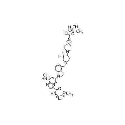 CNc1cc(N2CCc3c(CN4CCC(N5CCC6(CC5)CN(C(=O)OC(C)(C)C)C6)C(F)(F)C4)cccc32)nn2c(C(=O)N[C@@H]3CC[C@H]3OC)cnc12